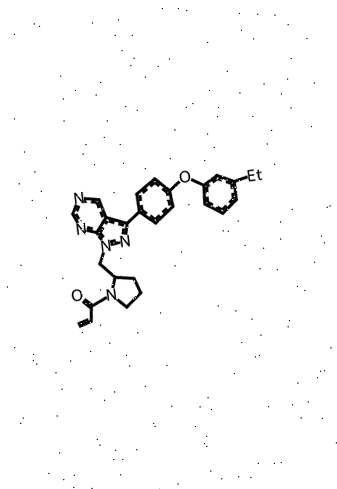 C=CC(=O)N1CCCC1Cn1nc(-c2ccc(Oc3cccc(CC)c3)cc2)c2cncnc21